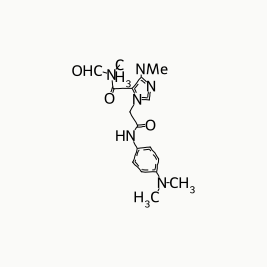 CNc1ncn(CC(=O)Nc2ccc(N(C)C)cc2)c1C(=O)N(C)C=O